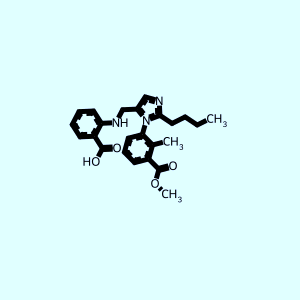 CCCCc1ncc(CNc2ccccc2C(=O)O)n1-c1cccc(C(=O)OC)c1C